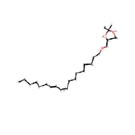 CCCCCCCC/C=C\CCCCCCCCOCC1COC(C)(C)O1